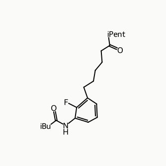 CCCC(C)C(=O)CCCCCc1cccc(NC(=O)C(C)CC)c1F